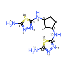 Nc1nnc(NC2CCC(Nc3nnc(N)s3)C2)s1